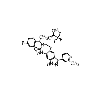 Cc1cc(-c2n[nH]c3cc4c(cc23)CCN(C(C)c2ccc(F)cc2)C(=O)N4)ccn1.O=C(O)C(F)(F)F